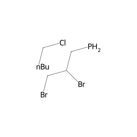 CCCCCCl.PCC(Br)CBr